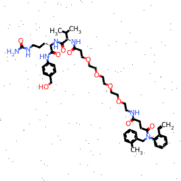 C=Cc1ccccc1N(Cc1ccccc1C)C(=O)CCC(=O)NCCOCCOCCOCCOCCC(=O)N[C@H](C(=O)N[C@@H](CCCNC(N)=O)C(=O)Nc1ccc(CO)cc1)C(C)C